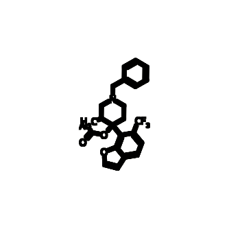 CC(=O)C(=O)OC1(c2c(C(F)(F)F)ccc3ccoc23)CCN(Cc2ccccc2)CC1C